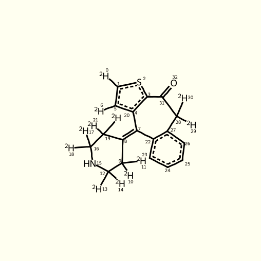 [2H]c1sc2c(c1[2H])C(=C1C([2H])([2H])C([2H])([2H])NC([2H])([2H])C1([2H])[2H])c1ccccc1C([2H])([2H])C2=O